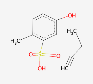 C#CCC.Cc1ccc(O)cc1S(=O)(=O)O